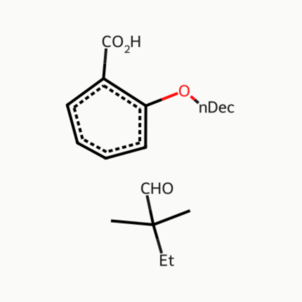 CCC(C)(C)C=O.CCCCCCCCCCOc1ccccc1C(=O)O